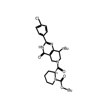 CCCCC1CN(C(=O)[C@@H]2CCCCN2C(=O)OC(C)(C)C)Cc2c1nc(-c1ccc(Cl)cc1)[nH]c2=O